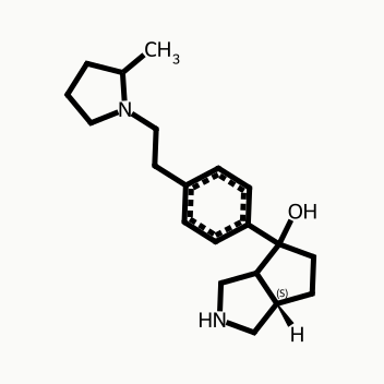 CC1CCCN1CCc1ccc(C2(O)CC[C@@H]3CNCC32)cc1